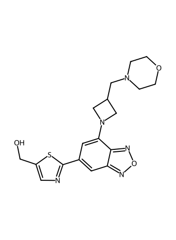 OCc1cnc(-c2cc(N3CC(CN4CCOCC4)C3)c3nonc3c2)s1